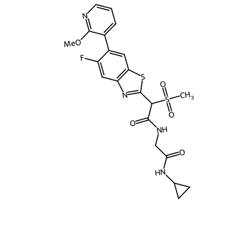 COc1ncccc1-c1cc2sc(C(C(=O)NCC(=O)NC3CC3)S(C)(=O)=O)nc2cc1F